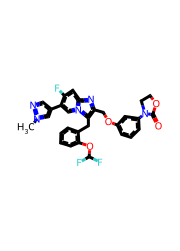 Cn1cc(-c2cn3c(Cc4ccccc4OC(F)F)c(COc4cccc(N5CCOC5=O)c4)nc3cc2F)cn1